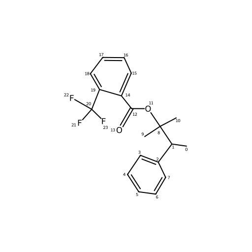 CC(c1ccccc1)C(C)(C)OC(=O)c1ccccc1C(F)(F)F